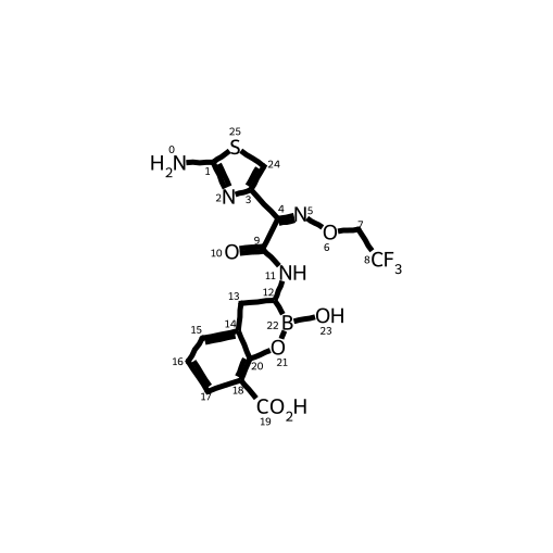 Nc1nc(C(=NOCC(F)(F)F)C(=O)NC2Cc3cccc(C(=O)O)c3OB2O)cs1